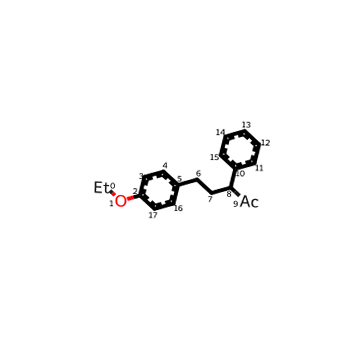 CCOc1ccc(CCC(C(C)=O)c2ccccc2)cc1